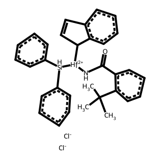 CC(C)(C)c1ccccc1C(=O)[NH][Hf+2]([CH]1C=Cc2ccccc21)[SiH](c1ccccc1)c1ccccc1.[Cl-].[Cl-]